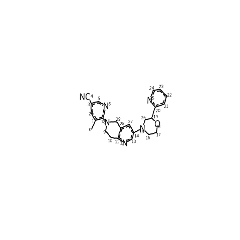 Cc1cc(C#N)cnc1N1CCc2ncc(N3CCOC(c4ccccn4)C3)cc2C1